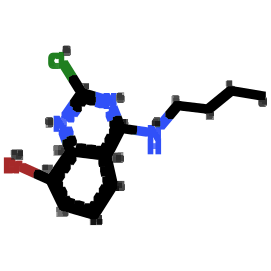 CCCCNc1nc(Cl)nc2c(Br)cccc12